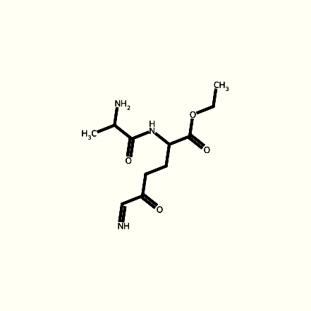 CCOC(=O)C(CCC(=O)C=N)NC(=O)C(C)N